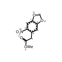 COC(=O)Cc1cc2c(cc1[N+](=O)[O-])OCO2